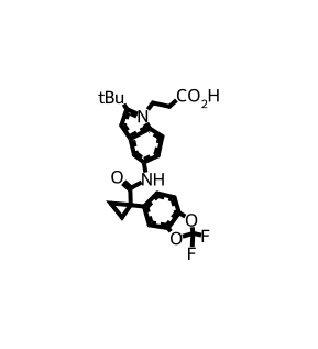 CC(C)(C)c1cc2cc(NC(=O)C3(c4ccc5c(c4)OC(F)(F)O5)CC3)ccc2n1CCC(=O)O